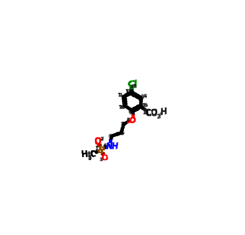 CS(=O)(=O)NCCCOc1ccc(Cl)cc1C(=O)O